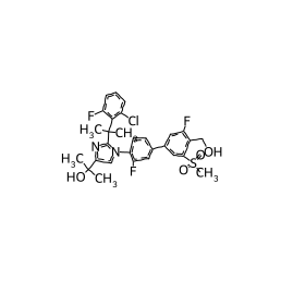 CC(C)(O)c1cn(-c2ccc(-c3cc(F)c(CO)c(S(C)(=O)=O)c3)cc2F)c(C(C)(C)c2c(F)cccc2Cl)n1